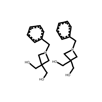 OCC1(CO)CN(Cc2ccccc2)C1.OCC1(CO)CN(Cc2ccccc2)C1